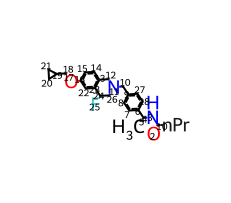 CCCC(=O)N[C@@H](C)c1ccc(CN2Cc3ccc(OCC4CC4)cc3C(F)C2)cc1